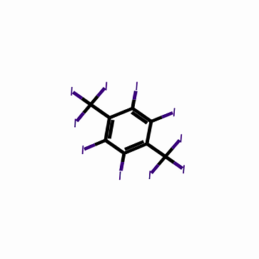 Ic1c(I)c(C(I)(I)I)c(I)c(I)c1C(I)(I)I